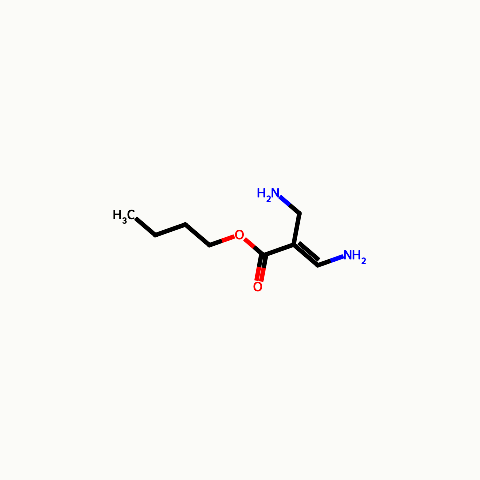 CCCCOC(=O)/C(=C/N)CN